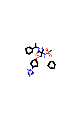 CC(NC(=O)C(C)(COc1ccc(-n2cncn2)cc1)NS(C)(=O)=O)c1ccccc1.c1ccccc1